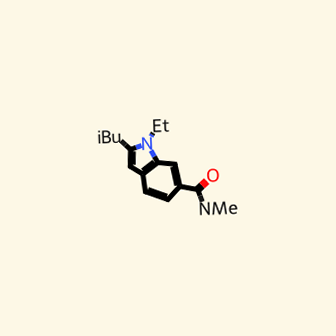 CCC(C)c1cc2ccc(C(=O)NC)cc2n1CC